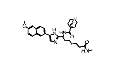 CNC(=O)CCCCCC(NC(=O)C12CCN(CC1)CC2)c1ncc(-c2ccc3cc(OC)ccc3c2)[nH]1